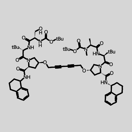 C[C@@H](C(=O)N[C@H](C(=O)N1C[C@@H](OCC#CC#CCO[C@H]2C[C@@H](C(=O)NC3CCCc4ccccc43)N(C(=O)[C@@H](NC(=O)[C@H](CO)NC(=O)OC(C)(C)C)C(C)(C)C)C2)C[C@H]1C(=O)N[C@@H]1CCCc2ccccc21)C(C)(C)C)N(C)C(=O)OC(C)(C)C